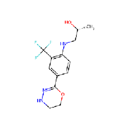 C[C@@H](O)CNc1ccc(C2=NNCCO2)cc1C(F)(F)F